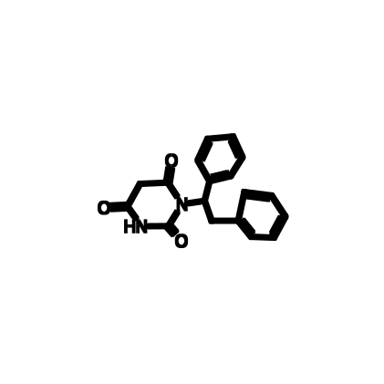 O=C1CC(=O)N(C(Cc2ccccc2)c2ccccc2)C(=O)N1